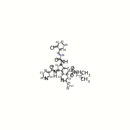 CC(C)CNS(=O)(=O)c1cc2c(c3cnc(C4CC4)cc13)[C@H](NC(=O)c1cccnc1)C[C@H]2NC(=O)/C=C/c1ccccc1Cl